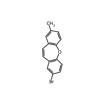 Cc1ccc2c(c1)C=Cc1cc(Br)ccc1O2